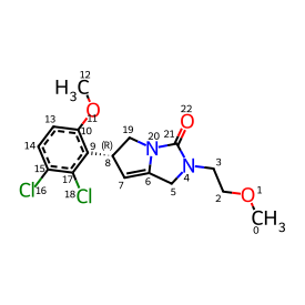 COCCN1CC2=C[C@H](c3c(OC)ccc(Cl)c3Cl)CN2C1=O